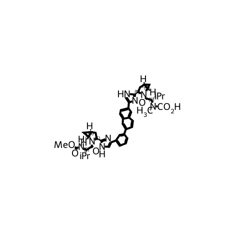 COC(=O)N[C@H](C(=O)N1[C@@H]2C[C@H]2C[C@H]1c1nc(-c2cccc(-c3ccc4cc(-c5c[nH]c([C@H]6C[C@@H]7C[C@@H]7N6C(=O)[C@H](C(C)C)N(C)C(=O)O)n5)ccc4c3)c2)c[nH]1)C(C)C